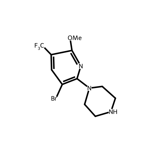 COc1nc(N2CCNCC2)c(Br)cc1C(F)(F)F